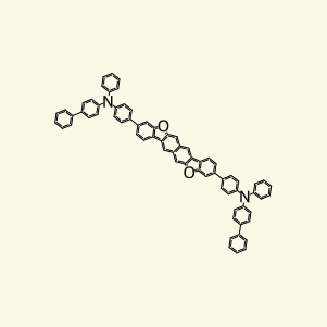 c1ccc(-c2ccc(N(c3ccccc3)c3ccc(-c4ccc5c(c4)oc4cc6cc7c(cc6cc45)oc4cc(-c5ccc(N(c6ccccc6)c6ccc(-c8ccccc8)cc6)cc5)ccc47)cc3)cc2)cc1